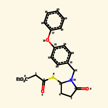 CCOC(=O)CC(=O)SC1CCC(=O)N1Cc1ccc(Oc2ccccc2)cc1